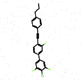 CCCc1ccc(C#Cc2ccc(-c3cc(F)c(Cl)c(F)c3)cc2F)cc1